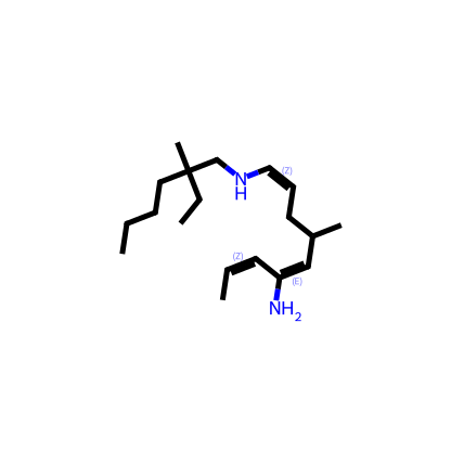 C/C=C\C(N)=C/C(C)C/C=C\NCC(C)(CC)CCCC